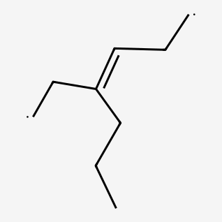 [CH2]CC=C(C[CH2])CCC